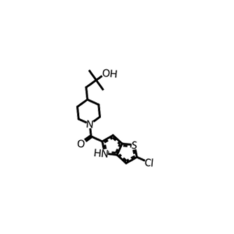 CC(C)(O)CC1CCN(C(=O)c2cc3sc(Cl)cc3[nH]2)CC1